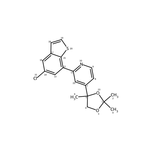 CC1(C)OCC(C)(c2ccnc(-c3cc(Cl)cc4ccsc34)c2)O1